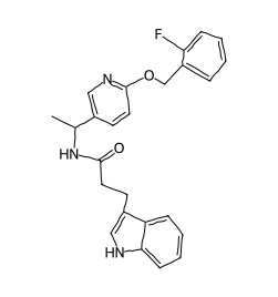 CC(NC(=O)CCc1c[nH]c2ccccc12)c1ccc(OCc2ccccc2F)nc1